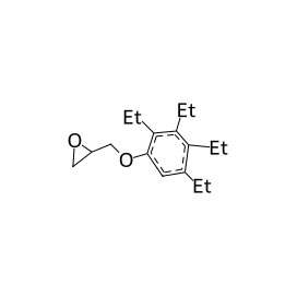 CCc1cc(OCC2CO2)c(CC)c(CC)c1CC